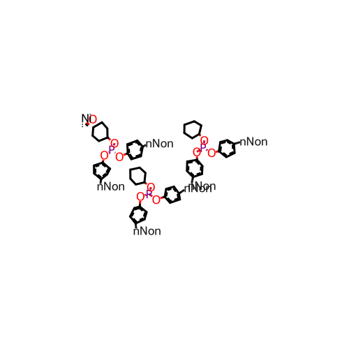 CCCCCCCCCc1ccc(OP(Oc2ccc(CCCCCCCCC)cc2)OC2CCCCC2)cc1.CCCCCCCCCc1ccc(OP(Oc2ccc(CCCCCCCCC)cc2)OC2CCCCC2)cc1.CCCCCCCCCc1ccc(OP(Oc2ccc(CCCCCCCCC)cc2)OC2CCCCC2)cc1.[C]=O.[Ni]